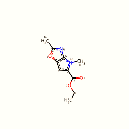 CCOC(=O)c1cc2oc(C)nc2n1C